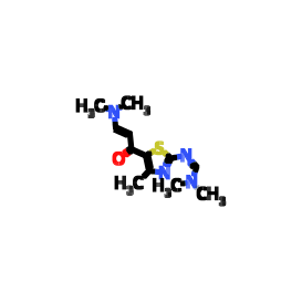 Cc1nc(/N=C\N(C)C)sc1C(=O)/C=C/N(C)C